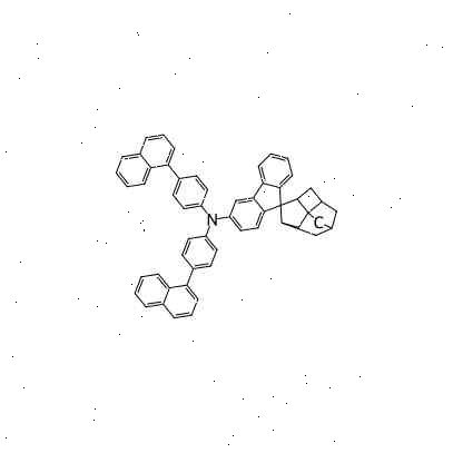 c1ccc2c(c1)-c1cc(N(c3ccc(-c4cccc5ccccc45)cc3)c3ccc(-c4cccc5ccccc45)cc3)ccc1C21C2CC3CC4CC1C4(C3)C2